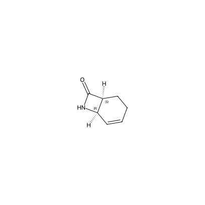 O=C1N[C@@H]2C=CCC[C@H]12